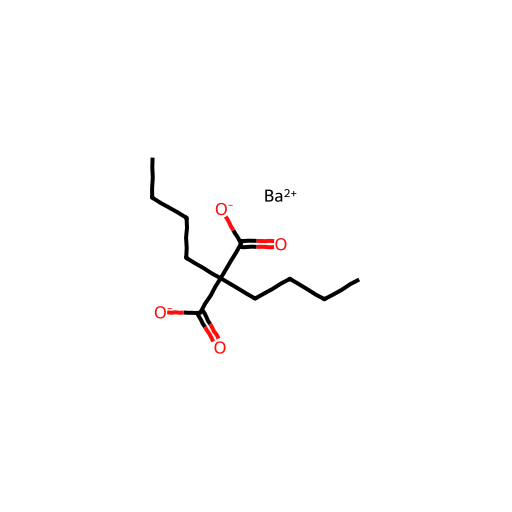 CCCCC(CCCC)(C(=O)[O-])C(=O)[O-].[Ba+2]